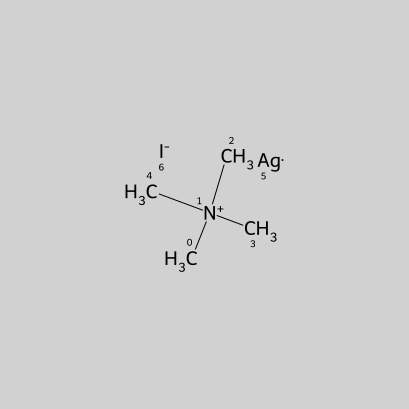 C[N+](C)(C)C.[Ag].[I-]